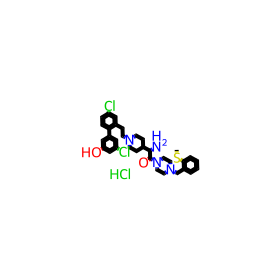 CSc1ccccc1CN1CCN(C(=O)C(N)C2CCN(CCc3cc(Cl)ccc3-c3cc(O)cc(Cl)c3)CC2)CC1.Cl